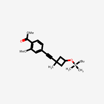 COC(=O)c1ccc(C#CC2(C)CC(O[Si](C)(C)C(C)(C)C)C2)cc1OC